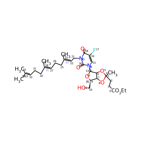 CCOC(=O)CCC1(C)OC2C(O1)[C@@H](CO)O[C@H]2n1cc(F)c(=O)n(C/C=C(\C)CC/C=C(\C)CCC=C(C)C)c1=O